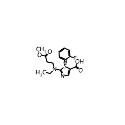 CCN(CCC(=O)OC)C1=NC=C(C(=O)O)[SH]1c1ccccc1F